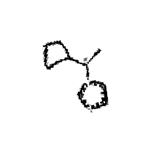 C[C@H](C1CCC1)n1c[c]nc1